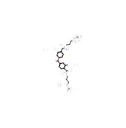 CCO[SiH2]CCCNC(=O)c1ccc(C(=O)c2ccc(C(=O)NCCC[SiH2]OCC)c(C(=O)O)c2)cc1C(=O)O